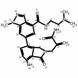 C=C(CN1Cc2c(-c3cc(C(=O)NCCN(C)C)c4cnn(C)c4c3)ccc(N)c2C1=O)C(N)=O